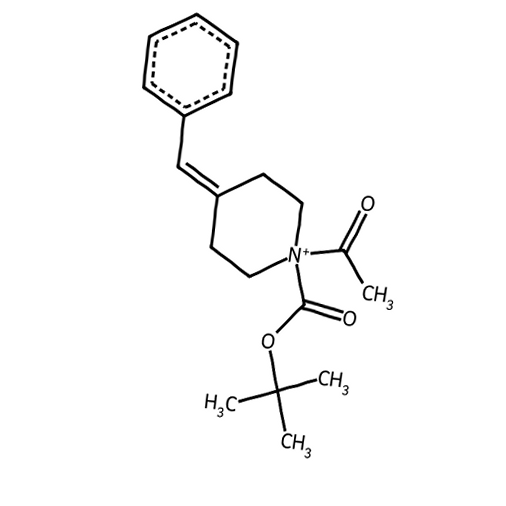 CC(=O)[N+]1(C(=O)OC(C)(C)C)CCC(=Cc2ccccc2)CC1